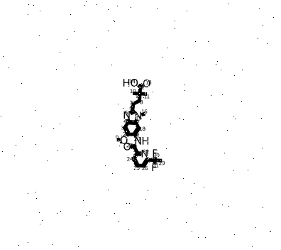 COc1cc2nc(CCC(C)(C)C(=O)O)n(C)c2cc1NC(=O)c1cccc(C(C)(F)F)n1